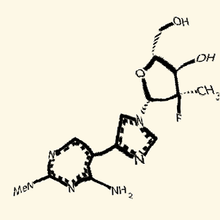 CNc1ncc(-c2cn([C@@H]3O[C@H](CO)[C@@H](O)[C@@]3(C)F)cn2)c(N)n1